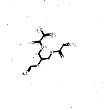 C=COC(COC(=O)C=C)COC(=O)C(=C)C